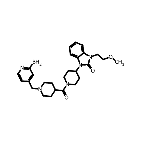 Bc1cc(CN2CCC(C(=O)N3CCC(n4c(=O)n(CCOC)c5ccccc54)CC3)CC2)ccn1